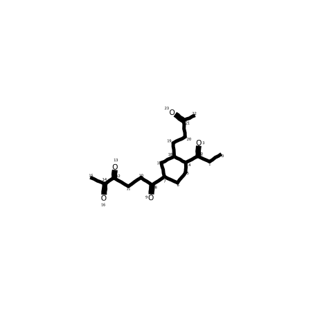 CCC(=O)C1CCC(C(=O)CCC(=O)C(C)=O)CC1CCC(C)=O